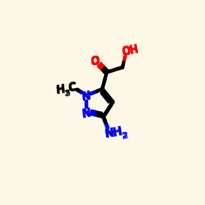 Cn1nc(N)cc1C(=O)CO